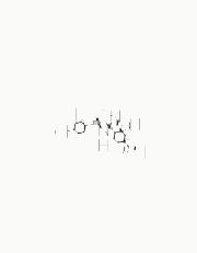 COc1ccc(C(=O)NC2C(c3ccc(Cl)cc3)C2(C)C)c(C)c1